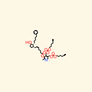 C#CCCCCOC(=O)OCc1cnc(C)c(OC(=O)CCC/C=C\C[C@H]2CC[C@@H](O)[C@@H]2CCCCCc2ccccc2)c1COC(=O)OCCCCC#C